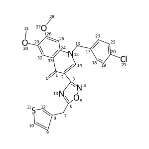 C=C1C(c2noc(Cc3ccsc3)n2)=CN(Cc2ccc(Cl)cc2)c2cc(OC)c(OC)cc21